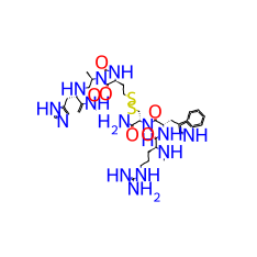 C=C(NC)[C@H](Cc1cnc[nH]1)NC(=O)[C@@H](C)N1C(=O)N[C@@H](CCSSC[C@H](NC(=O)[C@H](Cc2c[nH]c3ccccc23)NC(=O)[C@H](CCCNC(=N)N)NC)C(N)=O)C1=O